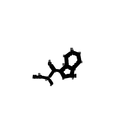 CON(C)C(=O)c1c[nH]c2ccncc12